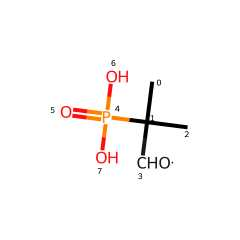 CC(C)([C]=O)P(=O)(O)O